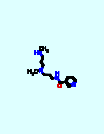 CNCCCN(C)CCCNC(=O)c1cccnc1